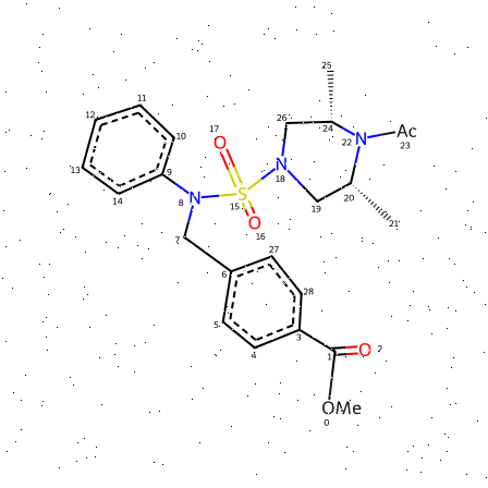 COC(=O)c1ccc(CN(c2ccccc2)S(=O)(=O)N2C[C@@H](C)N(C(C)=O)[C@@H](C)C2)cc1